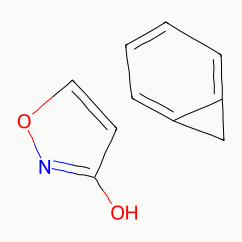 Oc1ccon1.c1ccc2c(c1)C2